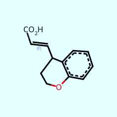 O=C(O)/C=C/C1CCOc2ccccc21